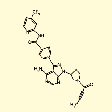 CC#CC(=O)N1CCC(n2nc(-c3ccc(C(=O)Nc4cc(C(F)(F)F)ccn4)cc3)c3c(N)ncnc32)C1